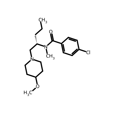 CCC[C@@H](CN1CCC(OC)CC1)N(C)C(=O)c1ccc(Cl)cc1